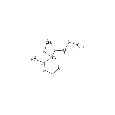 CCOC[N+]1(CC)CCCCC1O